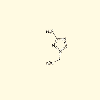 CCCCCn1cnc(N)n1